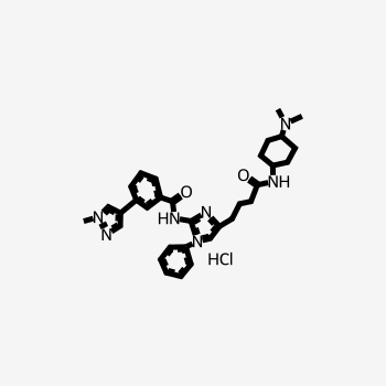 CN(C)C1CCC(NC(=O)CCCc2cn(-c3ccccc3)c(NC(=O)c3cccc(-c4cnn(C)c4)c3)n2)CC1.Cl